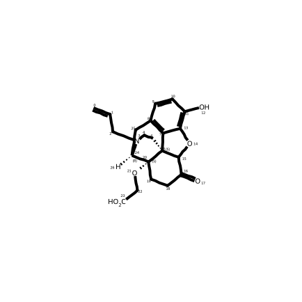 C=CCN1CC[C@]23c4c5ccc(O)c4OC2C(=O)CC[C@@]3(OCC(=O)O)[C@H]1C5